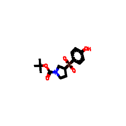 CC(C)(C)OC(=O)N1CCC(S(=O)(=O)c2ccc(O)cc2)C1